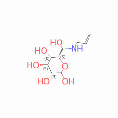 C=CCNC(O)[C@H]1OC(O)[C@H](O)[C@@H](O)[C@@H]1O